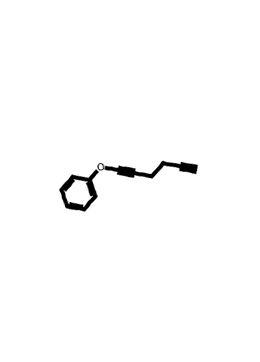 C#CCCC#COc1ccccc1